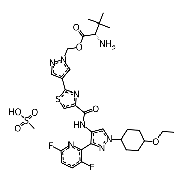 CCOC1CCC(n2cc(NC(=O)c3csc(-c4cnn(COC(=O)[C@@H](N)C(C)(C)C)c4)n3)c(-c3nc(F)ccc3F)n2)CC1.CS(=O)(=O)O